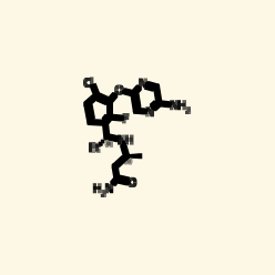 CC[C@@H](N[C@@H](C)CC(N)=O)c1ccc(Cl)c(Oc2cnc(N)cn2)c1F